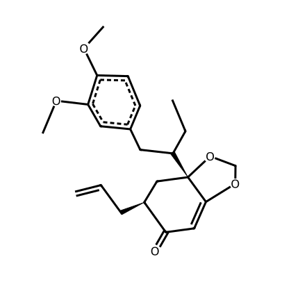 C=CC[C@H]1C[C@]2(C(CC)Cc3ccc(OC)c(OC)c3)OCOC2=CC1=O